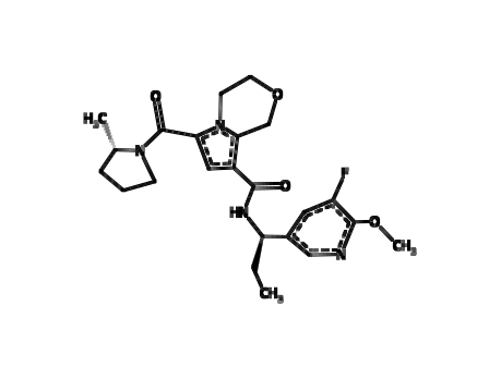 CC[C@@H](NC(=O)c1cc(C(=O)N2CCC[C@@H]2C)n2c1COCC2)c1cnc(OC)c(F)c1